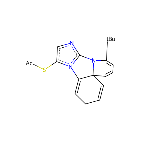 CC(=O)Sc1cnc2n1C1=CCC=CC13C=CC=C(C(C)(C)C)N23